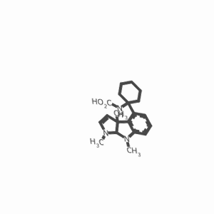 CN1C=CC2(C)c3c(cccc3C3(NC(=O)O)CCCCC3)N(C)C12